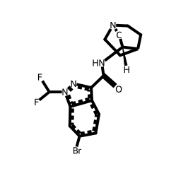 O=C(N[C@@H]1CN2CCC1CC2)c1nn(C(F)F)c2cc(Br)ccc12